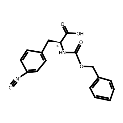 [C-]#[N+]c1ccc(C[C@H](NC(=O)OCc2ccccc2)C(=O)O)cc1